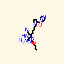 CCCCOc1nc(N)c2[nH]c(C#N)c(CCCCCN3CCCC3C(=O)N3CCN(C)CC3)c2n1